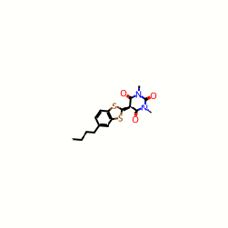 CCCCc1ccc2c(c1)SC(=C1C(=O)N(C)C(=O)N(C)C1=O)S2